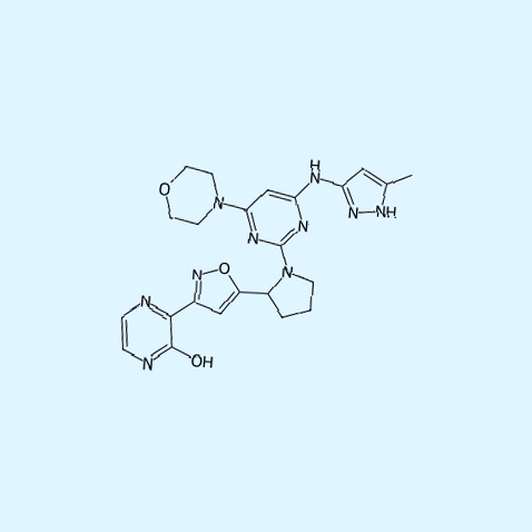 Cc1cc(Nc2cc(N3CCOCC3)nc(N3CCCC3c3cc(-c4nccnc4O)no3)n2)n[nH]1